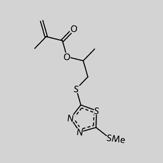 C=C(C)C(=O)OC(C)CSc1nnc(SC)s1